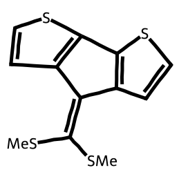 CSC(SC)=C1c2ccsc2-c2sccc21